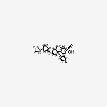 CC#C[C@@]1(O)CC[C@@]2(Cc3ccccc3)c3ccc(Oc4cccc(N5CCCC5)n4)cc3CC[C@@H]2C1